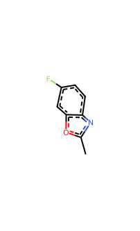 Cc1nc2ccc(F)cc2o1